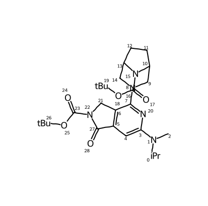 CC(C)N(C)c1cc2c(c(N3CC4CCC(C3)N4C(=O)OC(C)(C)C)n1)CN(C(=O)OC(C)(C)C)C2=O